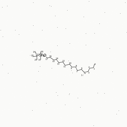 CCCC[C@H](C)CCCCCCCCCCCCO[Si](C)(C)C(C)(C)C